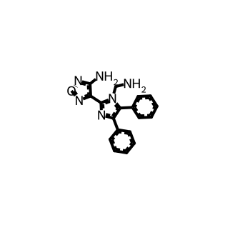 NCn1c(-c2nonc2N)nc(-c2ccccc2)c1-c1ccccc1